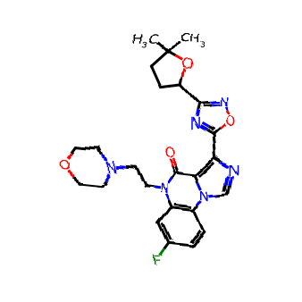 CC1(C)CCC(c2noc(-c3ncn4c3c(=O)n(CCN3CCOCC3)c3cc(F)ccc34)n2)O1